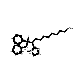 CCCCCCCCCCCCCCCCCCC(c1nccn1CCCCC)C(C)(Cc1ccccc1)c1ccccc1